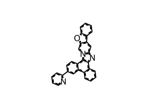 c1ccc(-c2ccc3c(c2)c2ccccc2c2nc4cc5c(cn4c32)oc2ccccc25)nc1